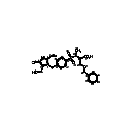 CCCCc1nc(Cl)c(CO)n1Cc1ccc(S(=O)(=O)N(C)C(COCc2ccccc2)C(=O)O)cc1